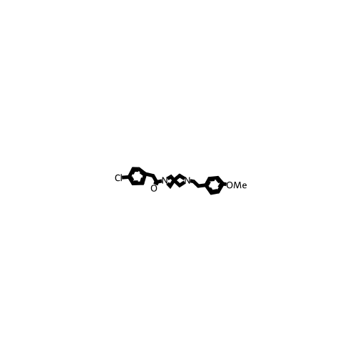 COc1ccc(CCN2CC3(C2)CN(C(=O)Cc2ccc(Cl)cc2)C3)cc1